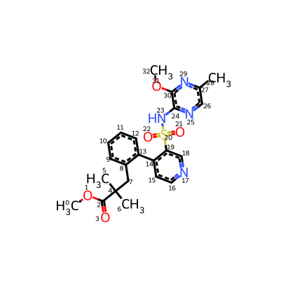 COC(=O)C(C)(C)Cc1ccccc1-c1ccncc1S(=O)(=O)Nc1ncc(C)nc1OC